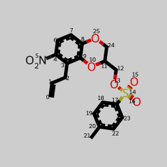 C=CCc1c([N+](=O)[O-])ccc2c1OC(COS(=O)(=O)c1ccc(C)cc1)CO2